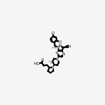 C[C@@H]1CN(c2cnc3c(C#N)nn([C@H](C)c4ccc(Cl)cc4Cl)c3n2)CCC1N1CCCC1CCC(=O)O